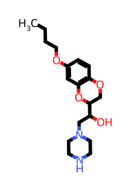 CCCCOc1ccc2c(c1)OC(C(O)CN1CCNCC1)CO2